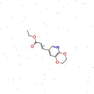 CCOC(=O)/C=C/c1cnc2c(c1)OCCO2